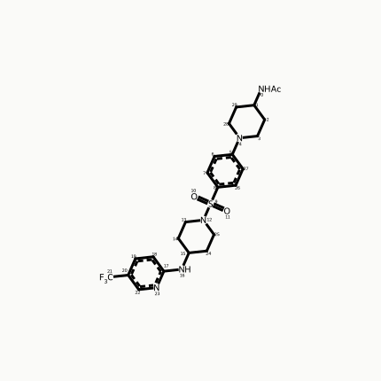 CC(=O)NC1CCN(c2ccc(S(=O)(=O)N3CCC(Nc4ccc(C(F)(F)F)cn4)CC3)cc2)CC1